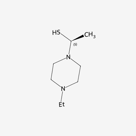 CCN1CCN([C@H](C)S)CC1